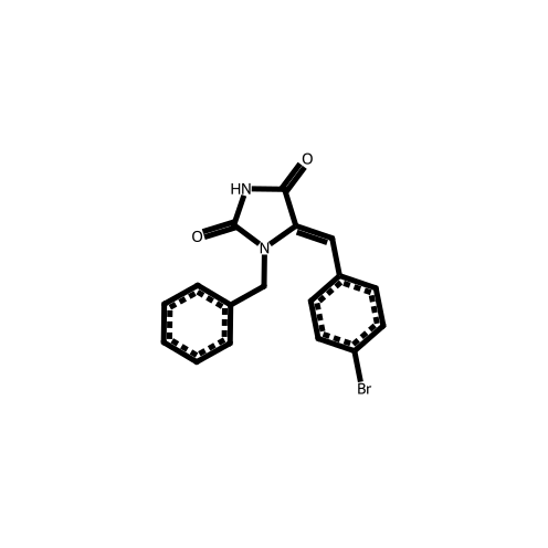 O=C1NC(=O)N(Cc2ccccc2)/C1=C\c1ccc(Br)cc1